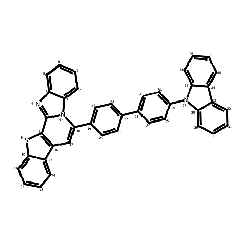 c1ccc2c(c1)nc1c3sc4ccccc4c3cc(-c3ccc(-c4ccc(-n5c6ccccc6c6ccccc65)cc4)cc3)n21